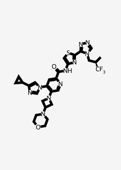 C[C@H](Cn1cnnc1-c1nc(NC(=O)c2cc(-n3cnc(C4CC4)c3)c(N3CC(N4CCOCC4)C3)cn2)cs1)C(F)(F)F